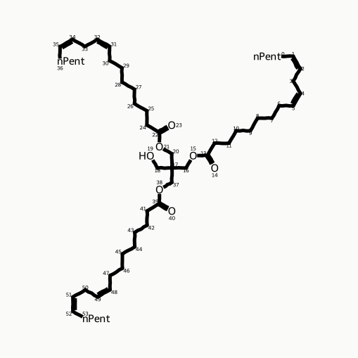 CCCCC/C=C\C/C=C\CCCCCCCC(=O)OCC(CO)(COC(=O)CCCCCCC/C=C\C/C=C\CCCCC)COC(=O)CCCCCCC/C=C\C/C=C\CCCCC